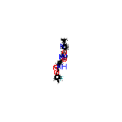 Cc1ccc(OCC(=O)NC2(C)C=C(c3nc(COc4ccc(C5CC5)nc4)no3)C2)cc1F